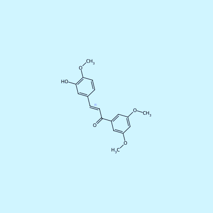 COc1cc(OC)cc(C(=O)/C=C/c2ccc(OC)c(O)c2)c1